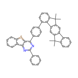 CC1(C)c2ccccc2-c2cc3c(cc21)-c1c(-c2ccc(-c4nc(-c5ccccc5)nc5c4sc4ccccc45)cc2)cccc1C3(C)C